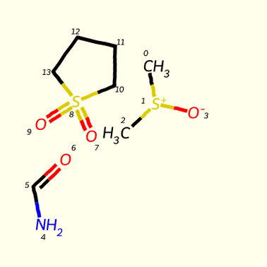 C[S+](C)[O-].NC=O.O=S1(=O)CCCC1